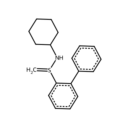 C=S(NC1CCCCC1)c1ccccc1-c1ccccc1